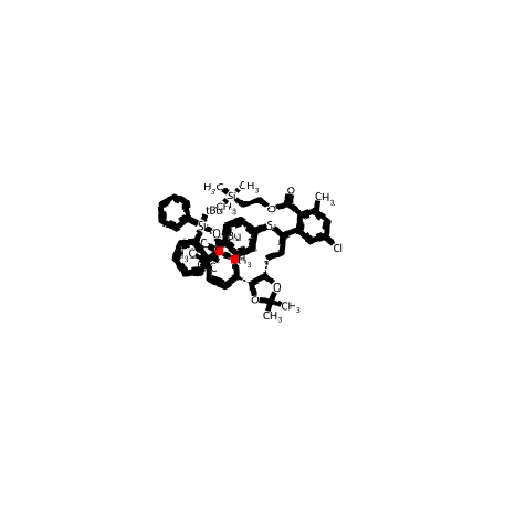 Cc1cc(Cl)cc(C(CC[C@@H]2OC(C)(C)O[C@@H]2C(/C=C\[C@@H](C)[C@H](C)O[Si](c2ccccc2)(c2ccccc2)C(C)(C)C)O[Si](C)(C)C(C)(C)C)Sc2ccccc2)c1C(=O)OCC[Si](C)(C)C